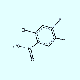 Cc1cc([N+](=O)O)c(Cl)cc1F